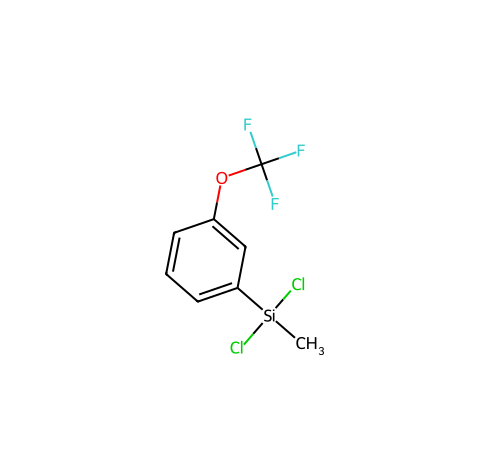 C[Si](Cl)(Cl)c1cccc(OC(F)(F)F)c1